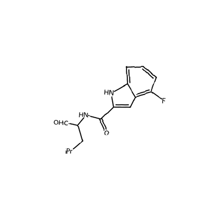 CC(C)CC(C=O)NC(=O)c1cc2c(F)cccc2[nH]1